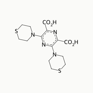 O=C(O)c1nc(C(=O)O)c(N2CCSCC2)nc1N1CCSCC1